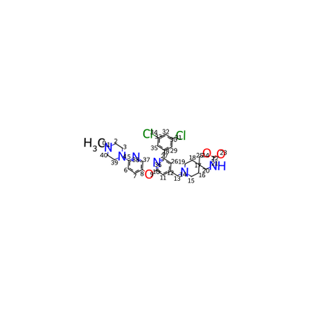 CN1CCN(c2ccc(Oc3cc(CN4CCC5(CC4)CNC(=O)OC5)cc(-c4cc(Cl)cc(Cl)c4)n3)cn2)CC1